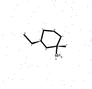 CC[C@H]1CCC[C@](C)(N)C1